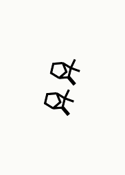 C=C1C2CCC(C2)C1(C)C.C=C1C2CCC(C2)C1(C)C